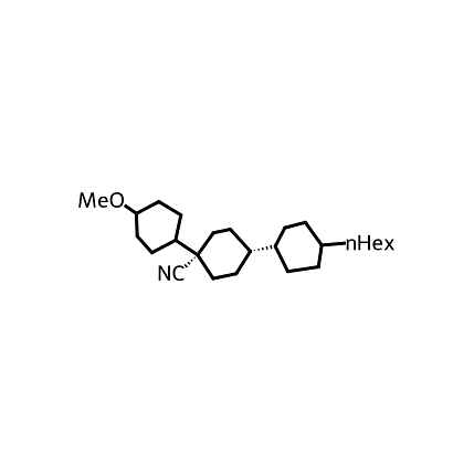 CCCCCCC1CCC([C@H]2CC[C@](C#N)(C3CCC(OC)CC3)CC2)CC1